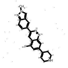 Cn1cc2cc(-c3cc4c(F)cc(C5=CCNCC5)cc4nn3)ccc2n1